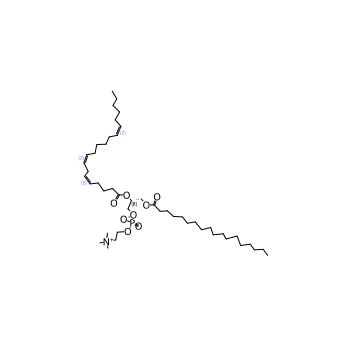 CCCCC/C=C\CCCC/C=C\C/C=C\CCCC(=O)O[C@H](COC(=O)CCCCCCCCCCCCCCCCC)COP(=O)([O-])OCC[N+](C)(C)C